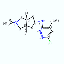 COc1cc(Cl)nnc1N[C@@H]1C[C@@H]2CN(C(=O)O)C[C@@H]2C1